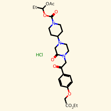 CCOC(=O)COc1ccc(C(=O)CN2CCN(C3CCN(C(=O)OC(CC)OC(C)=O)CC3)CC2=O)cc1.Cl